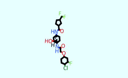 O=C(COC1CCC(Cl)C(F)C1)NC12CCC(NC(=O)C3CCC(C(F)F)C3)(CC1)C[C@@H]2O